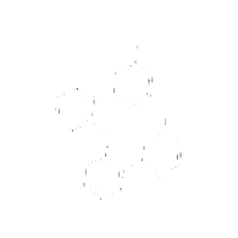 Clc1cccc(-c2ccccc2Sc2ccccc2-c2cccc(Cl)c2)c1